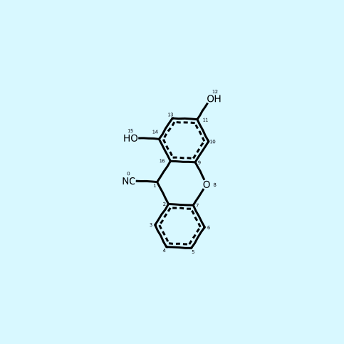 N#CC1c2ccccc2Oc2cc(O)cc(O)c21